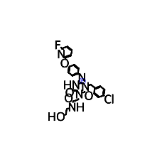 O=C(Cn1c(=O)[nH]/c(=N\c2ccc(Oc3cccc(F)n3)cc2)n(Cc2ccc(Cl)cc2)c1=O)NCCO